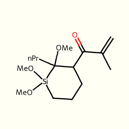 C=C(C)C(=O)C1CCC[Si](OC)(OC)C1(CCC)OC